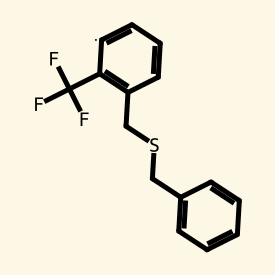 FC(F)(F)c1[c]cccc1CSCc1ccccc1